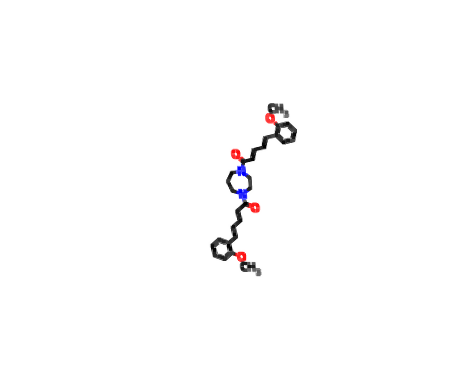 COc1ccccc1/C=C/C=C/C(=O)N1CCCN(C(=O)/C=C/C=C/c2ccccc2OC)CC1